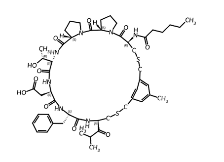 CCCCCC(=O)N[C@H]1CSCc2cc(C)cc(c2)CSC[C@@H](C(=O)C(C)C)NC(=O)[C@H](Cc2ccccc2)NC(=O)[C@@H](CC(=O)O)NC(=O)[C@H]([C@@H](C)O)NC(=O)[C@@H]2CCCN2C(=O)[C@@H]2CCCN2C1=O